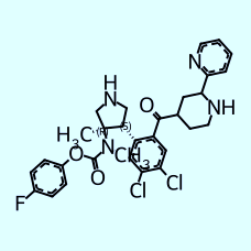 CN(C(=O)Oc1ccc(F)cc1)[C@@]1(C)CNC[C@@H]1c1cc(Cl)c(Cl)cc1C(=O)C1CCNC(c2ccccn2)C1